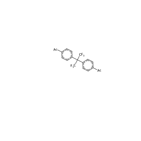 CC(=O)c1ccc(C(c2ccc(C(C)=O)cc2)(C(F)(F)F)C(F)(F)F)cc1